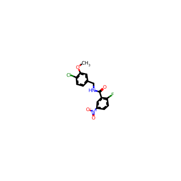 COc1cc(CNC(=O)c2cc([N+](=O)[O-])ccc2F)ccc1Cl